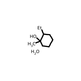 CCC1CCCCC1(C)O.O